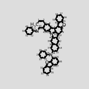 C/C=C\c1cc2c3c4c(cc5c6cc7ccc(N(c8ccccc8)c8cccc9c8oc8ccccc89)cc7cc6n(c2cc1/C=N/c1ccccc1)c53)oc1ccccc14